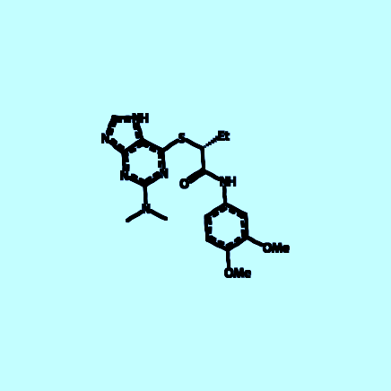 CC[C@@H](Sc1nc(N(C)C)nc2nc[nH]c12)C(=O)Nc1ccc(OC)c(OC)c1